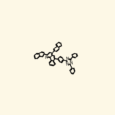 c1ccc(-c2nc(-c3ccccc3)nc(-c3ccc(-c4cc5c(-c6ccc7ccccc7c6)cc(-c6ccc7ccccc7c6)nc5c5ccccc45)cc3)n2)cc1